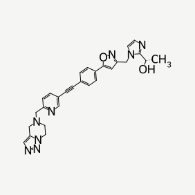 C[C@H](O)c1nccn1Cc1cc(-c2ccc(C#Cc3ccc(CN4CCn5nncc5C4)nc3)cc2)on1